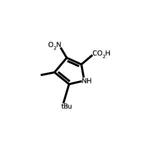 Cc1c(C(C)(C)C)[nH]c(C(=O)O)c1[N+](=O)[O-]